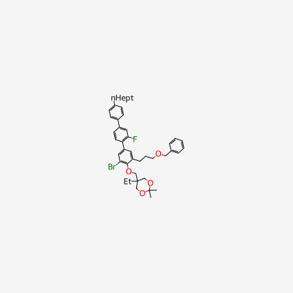 CCCCCCCc1ccc(-c2ccc(-c3cc(Br)c(OCC4(CC)COC(C)(C)OC4)c(CCCOCc4ccccc4)c3)c(F)c2)cc1